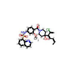 C=C(Cl)/C(=C\C=C/C)C1(O)CCN(C(=O)c2ccc(NS(=O)(=O)c3cccc4cccnc34)cc2OC(F)(F)F)CC1